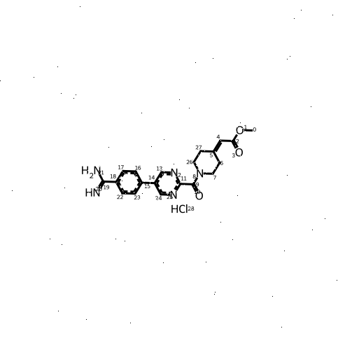 COC(=O)C=C1CCN(C(=O)c2ncc(-c3ccc(C(=N)N)cc3)cn2)CC1.Cl